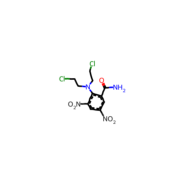 NC(=O)c1cc([N+](=O)[O-])cc([N+](=O)[O-])c1N(CCCl)CCCl